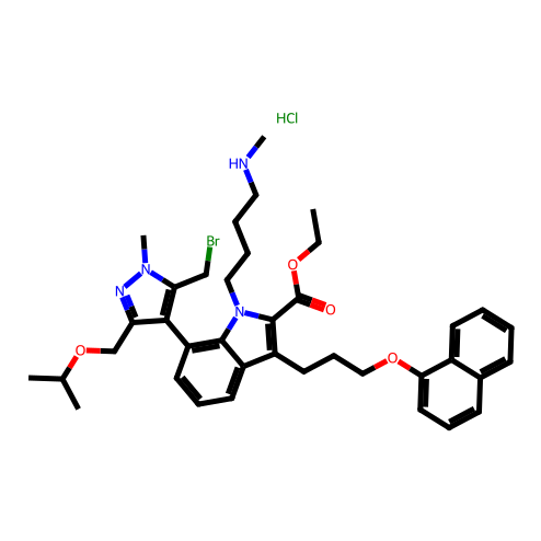 CCOC(=O)c1c(CCCOc2cccc3ccccc23)c2cccc(-c3c(COC(C)C)nn(C)c3CBr)c2n1CCCCNC.Cl